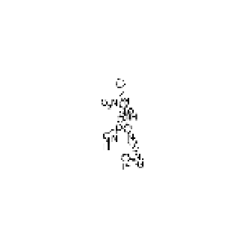 CC(C)c1ccccc1[C@@H]1COCCN1C1CC2(CCN(c3ccc(C(=O)NS(=O)(=O)c4cnc(CC[C@H]5CC[C@@H](C)CC5)c([N+](=O)[O-])c4)c(Oc4cnc5[nH]ccc5c4)c3)CC2)C1